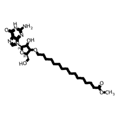 COC(=O)CCCCCCCCCCCCCCCOC1C(O)[C@H](n2cnc3c(=O)[nH]c(N)nc32)O[C@@H]1CO